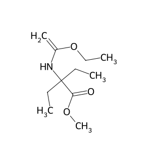 C=C(NC(CC)(CC)C(=O)OC)OCC